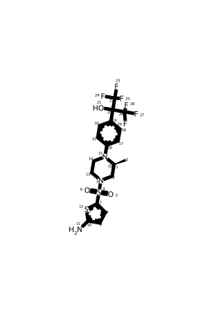 C[C@H]1CN(S(=O)(=O)c2ccc(N)s2)CCN1c1ccc(C(O)(C(F)(F)F)C(F)(F)F)cc1